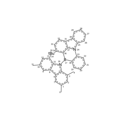 Cc1cc(C)c2c(c1)c1cc(C)cc(C)c1n2B1c2ccccc2-n2c3ccccc3c3ccc(C(C)(C)C)c1c32